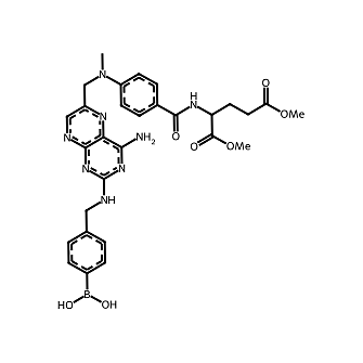 COC(=O)CCC(NC(=O)c1ccc(N(C)Cc2cnc3nc(NCc4ccc(B(O)O)cc4)nc(N)c3n2)cc1)C(=O)OC